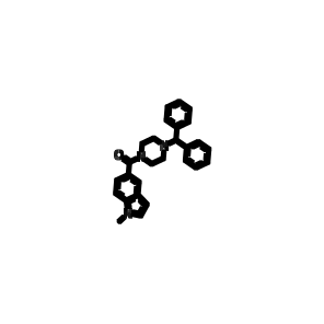 Cn1ccc2cc(C(=O)N3CCN(C(c4ccccc4)c4ccccc4)CC3)ccc21